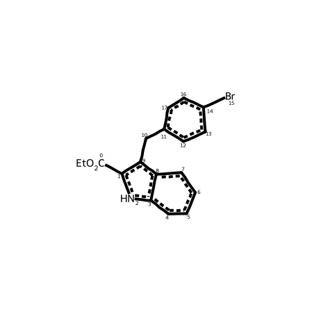 CCOC(=O)c1[nH]c2ccccc2c1Cc1ccc(Br)cc1